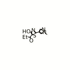 CCC(=O)c1sc(-c2cnn(C)c2)nc1O